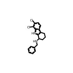 Clc1ccc2c3c([nH]c2c1Cl)C(NCc1ccccc1)CCC3